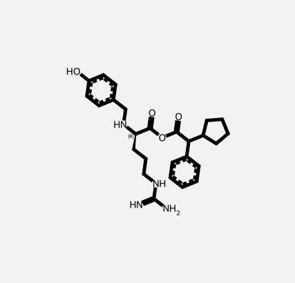 N=C(N)NCCC[C@@H](NCc1ccc(O)cc1)C(=O)OC(=O)C(c1ccccc1)C1CCCC1